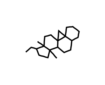 CCC1CCC2(C)C3CCC4CCCCC45CC35CCC12C